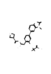 Cn1c(=O)oc2ccc(-c3ccc(C[C@@H](C#N)NC(=O)C4CNC4)c(F)c3)cc21.O=C(O)C(F)(F)F